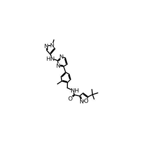 Cc1cc(-c2ccnc(Nc3cnn(C)c3)n2)ccc1CNC(=O)c1cc(C(C)(C)C)on1